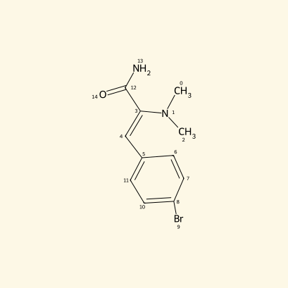 CN(C)C(=Cc1ccc(Br)cc1)C(N)=O